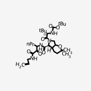 C=CCNC(=O)C(=O)C(CCC)NC(=O)[C@@H]1[C@@H]2CCC(C)(C)OC2CN1C(=O)[C@@H](NC(=O)OC(C)(C)C)C(C)(C)C